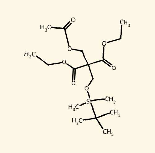 CCOC(=O)C(COC(C)=O)(CO[Si](C)(C)C(C)(C)C)C(=O)OCC